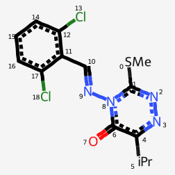 CSc1nnc(C(C)C)c(=O)n1N=Cc1c(Cl)cccc1Cl